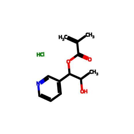 C=C(C)C(=O)OC(c1cccnc1)C(C)O.Cl